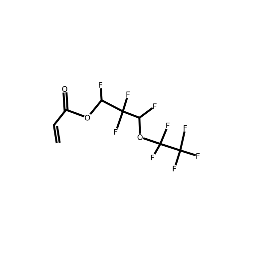 C=CC(=O)OC(F)C(F)(F)C(F)OC(F)(F)C(F)(F)F